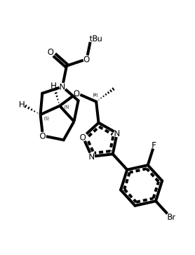 C[C@@H](O[C@H]1C2CO[C@H]1CN(C(=O)OC(C)(C)C)C2)c1nc(-c2ccc(Br)cc2F)no1